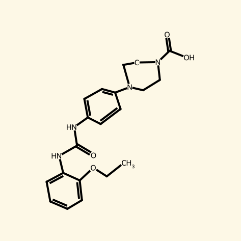 CCOc1ccccc1NC(=O)Nc1ccc(N2CCN(C(=O)O)CC2)cc1